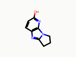 Oc1ccc2nc3n(c2n1)CCC3